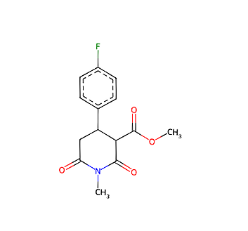 COC(=O)C1C(=O)N(C)C(=O)CC1c1ccc(F)cc1